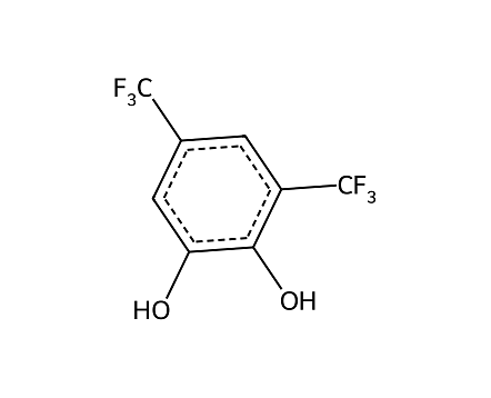 Oc1cc(C(F)(F)F)cc(C(F)(F)F)c1O